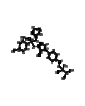 O=c1n(-c2ccc(OCC(F)(F)C(F)F)cc2)cnn1CC(O)(Cn1cncn1)c1ccc(F)cc1F